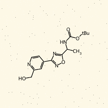 CC(NC(=O)OC(C)(C)C)c1nc(-c2ccnc(CO)c2)no1